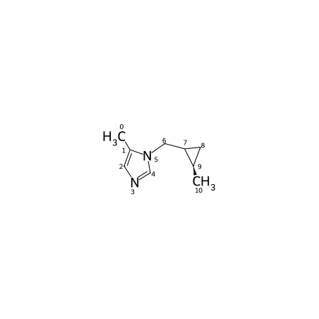 Cc1cncn1CC1C[C@H]1C